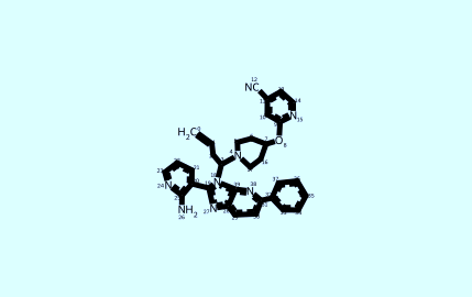 C=CCC(N1CCC(Oc2cc(C#N)ccn2)CC1)n1c(-c2cccnc2N)nc2ccc(-c3ccccc3)nc21